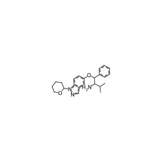 CC(C)C(N)C(Oc1ccc2c(cnn2C2CCCCO2)c1)c1ccccc1